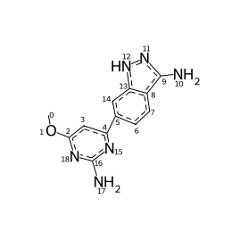 COc1cc(-c2ccc3c(N)n[nH]c3c2)nc(N)n1